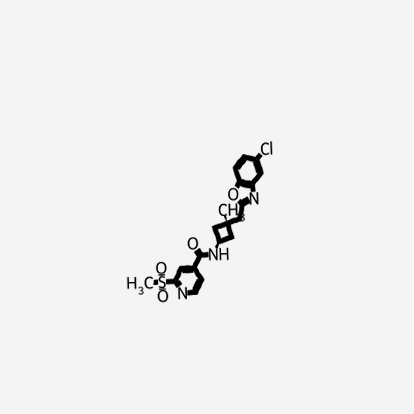 CS(=O)(=O)c1cc(C(=O)N[C@H]2C[C@@](C)(Cc3nc4cc(Cl)ccc4o3)C2)ccn1